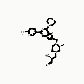 C[C@H]1CN(C[C@H](O)C=O)CCN1Cc1cc2nc(-c3ccc(N)nc3)nc(N3CCOCC3)c2s1